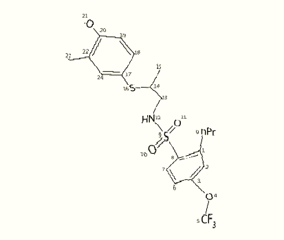 CCCc1cc(OC(F)(F)F)ccc1S(=O)(=O)NCC(C)Sc1ccc([O])c(C)c1